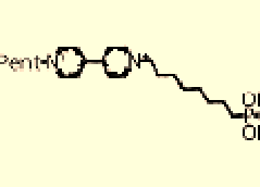 CCCCC[n+]1ccc(-c2cc[n+](CCCCCCCCP(=O)(O)O)cc2)cc1